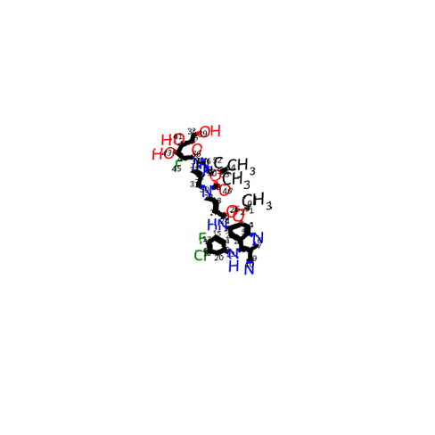 CCOc1cc2ncc(C#N)c(Nc3ccc(F)c(Cl)c3)c2cc1NC(=O)C=CCN(Cc1cn(C2OC(CO)C(O)C(O)C2F)nn1)C(=O)OC(C)(C)C